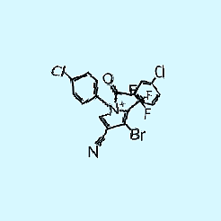 N#CC1=C[N+](C(=O)c2cccc(Cl)c2)(c2ccc(Cl)cc2)C(C(F)(F)F)=C1Br